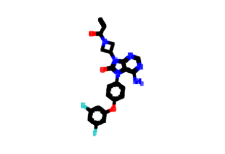 C=CC(=O)N1CC(n2c(=O)n(-c3ccc(Oc4cc(F)cc(F)c4)cc3)c3c(N)ncnc32)C1